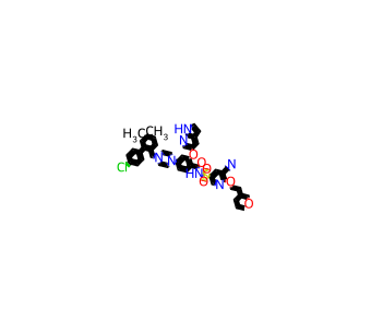 CC1(C)CCC(CN2CCN(c3ccc(C(=O)NS(=O)(=O)c4cnc(OCCC5CCCOC5)c(C#N)c4)c(Oc4cnc5[nH]ccc5c4)c3)CC2)=C(c2ccc(Cl)cc2)C1